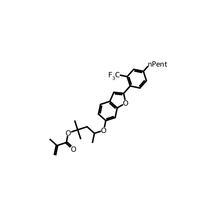 C=C(C)C(=O)OC(C)(C)CC(C)Oc1ccc2cc(-c3ccc(CCCCC)cc3C(F)(F)F)oc2c1